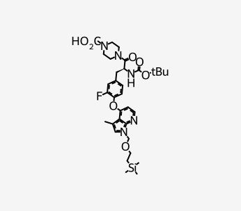 Cc1cn(COCC[Si](C)(C)C)c2nccc(Oc3ccc(C[C@H](NC(=O)OC(C)(C)C)C(=O)N4CCN(C(=O)O)CC4)cc3F)c12